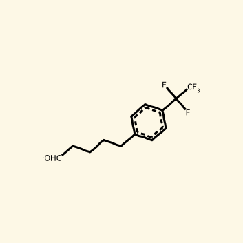 O=[C]CCCCc1ccc(C(F)(F)C(F)(F)F)cc1